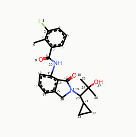 Cc1c(F)cccc1C(=O)Nc1cccc2c1C(=O)N(C(C1CC1)C(C)(C)O)C2